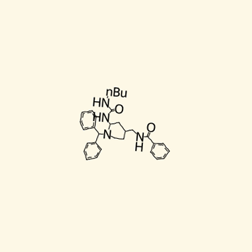 CCCCNC(=O)NC1CC(CNC(=O)c2ccccc2)CCN1C(c1ccccc1)c1ccccc1